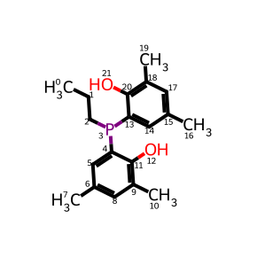 CCCP(c1cc(C)cc(C)c1O)c1cc(C)cc(C)c1O